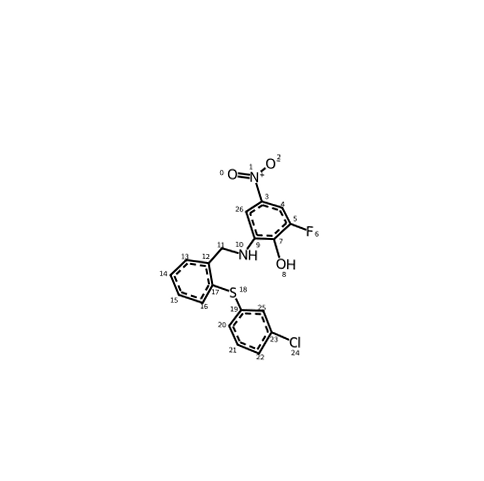 O=[N+]([O-])c1cc(F)c(O)c(NCc2ccccc2Sc2cccc(Cl)c2)c1